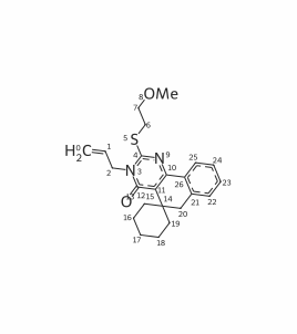 C=CCn1c(SCCOC)nc2c(c1=O)C1(CCCCC1)Cc1ccccc1-2